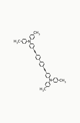 Cc1ccc(N(c2ccc(C)cc2)c2ccc(C#Cc3ccc(-c4ccc(C#Cc5ccc(N(c6ccc(C)cc6)c6ccc(C)cc6)cc5)cc4)cc3)cc2)cc1